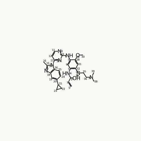 C=CC(O)Nc1cc(Nc2nccc(-n3c(C)nc4cc(C5CC5)ccc43)n2)c(OC)cc1N(C)CCN(C)C